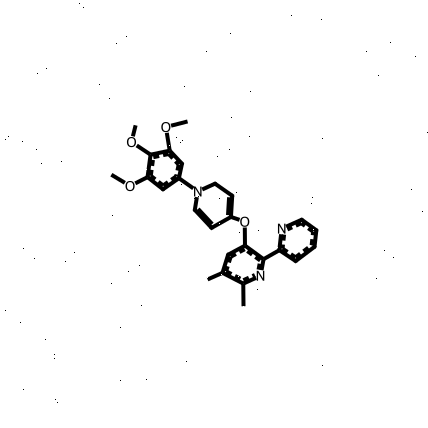 COc1cc(N2C=CC(Oc3cc(C)c(C)nc3-c3ccccn3)=CC2)cc(OC)c1OC